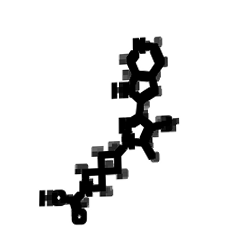 Cc1c(Br)c(-c2cc3ccncc3[nH]2)nn1C1CC2(C1)CN(C(=O)O)C2